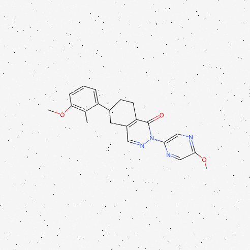 COc1cnc(-n2ncc3c(c2=O)CCC(c2cccc(OC)c2C)C3)cn1